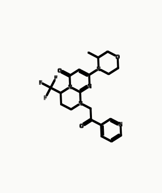 CC1COCCN1c1cc(=O)n2c(n1)N(CC(=O)c1cccnc1)CCC2C(F)(F)F